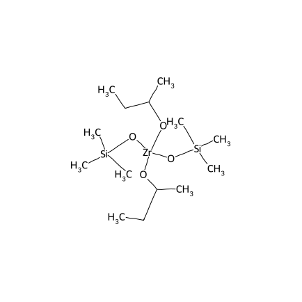 CCC(C)[O][Zr]([O]C(C)CC)([O][Si](C)(C)C)[O][Si](C)(C)C